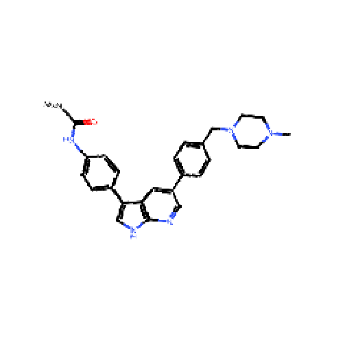 CNC(=O)Nc1ccc(-c2c[nH]c3ncc(-c4ccc(CN5CCN(C)CC5)cc4)cc23)cc1